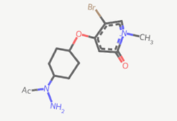 CC(=O)N(N)C1CCC(Oc2cc(=O)n(C)cc2Br)CC1